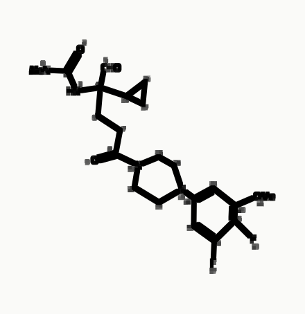 CNC(=O)NC(C=O)(CCC(=O)N1CCN(c2cc(F)c(F)c(OC)c2)CC1)C1CC1